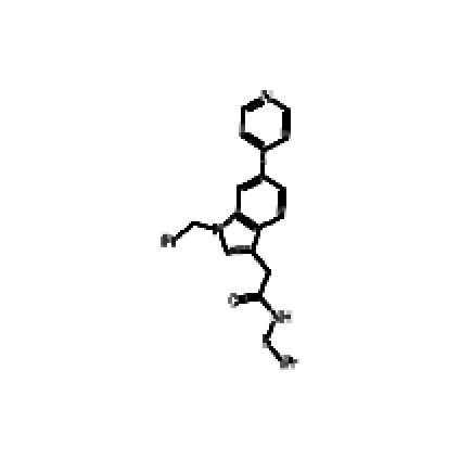 CC(C)Cn1cc(CC(=O)NSC(C)C)c2ccc(-c3ccncc3)cc21